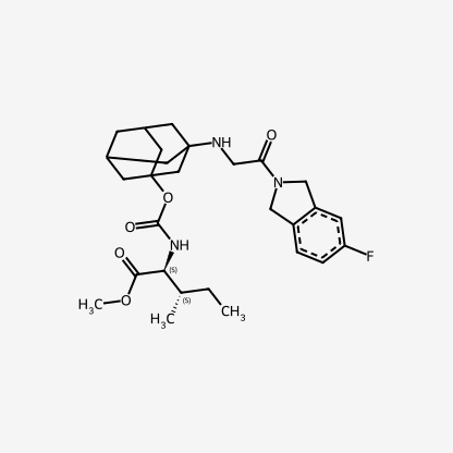 CC[C@H](C)[C@H](NC(=O)OC12CC3CC(CC(NCC(=O)N4Cc5ccc(F)cc5C4)(C3)C1)C2)C(=O)OC